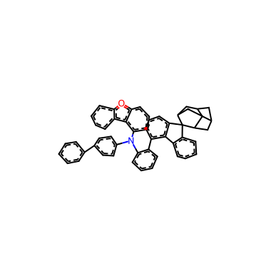 c1ccc(-c2ccc(N(c3ccccc3-c3cccc4c3-c3ccccc3C43C4CC5CC(C4)CC3C5)c3cccc4oc5ccccc5c34)cc2)cc1